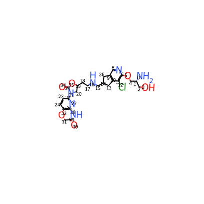 N[C@H](CO)COc1ncc2c(c1Cl)CC(CNCCC1CN(c3ccc4c(n3)NC(=O)CO4)C(=O)O1)C2